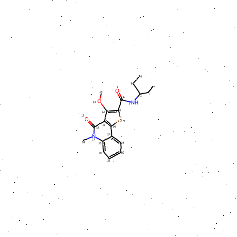 CCC(CC)NC(=O)c1sc2c(c1OC)c(=O)n(C)c1ccccc21